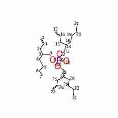 C=CCC(CCCC)COP(=O)(OCC(CC=C)CCCC)OCC(CC=C)CCCC